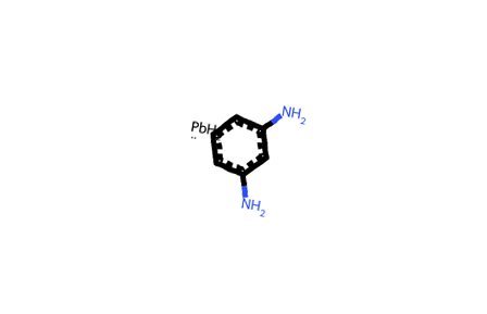 Nc1cccc(N)c1.[PbH2]